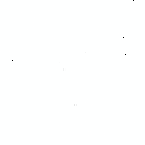 COCC1(C(=O)N2Cc3ccc(C(=O)OC)cc3OC[C@@H]2C)CCOCC1